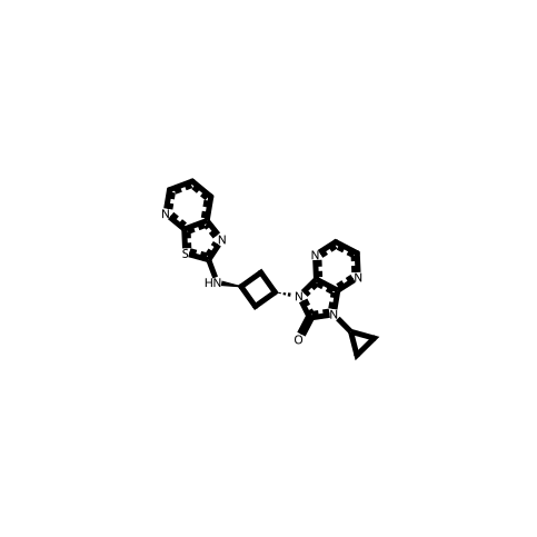 O=c1n(C2CC2)c2nccnc2n1[C@H]1C[C@H](Nc2nc3cccnc3s2)C1